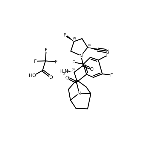 N#C[C@@H]1C[C@H](F)CN1C(=O)[C@@H](N)C1CC2CCC(C1)N2C(=O)c1cc(F)c(F)cc1F.O=C(O)C(F)(F)F